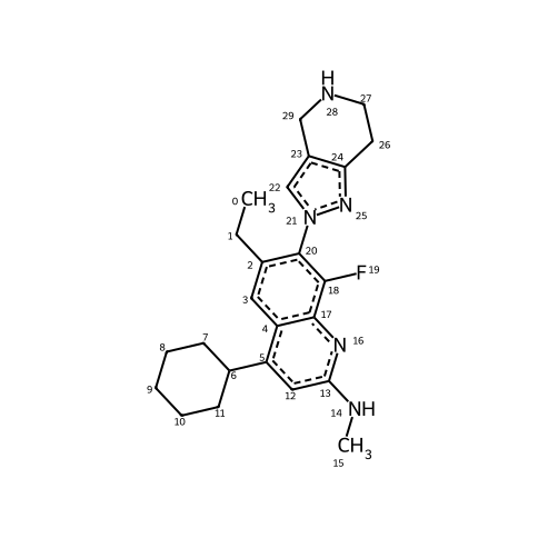 CCc1cc2c(C3CCCCC3)cc(NC)nc2c(F)c1-n1cc2c(n1)CCNC2